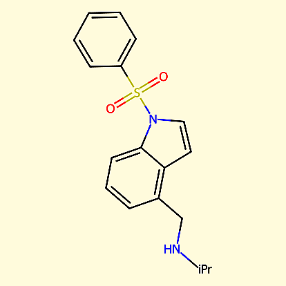 CC(C)NCc1cccc2c1ccn2S(=O)(=O)c1ccccc1